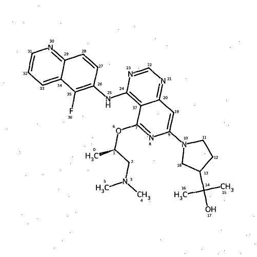 C[C@H](CN(C)C)Oc1nc(N2CCC(C(C)(C)O)C2)cc2ncnc(Nc3ccc4ncccc4c3F)c12